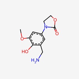 COc1cc(N2CCOC2=O)cc(CN)c1O